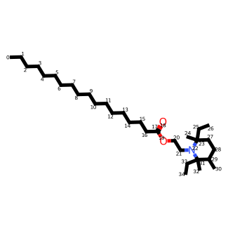 CCCCCCCCCCCCCCCCCC(=O)OCCN1C(C)(CC)CCC(C)C1(C)CC